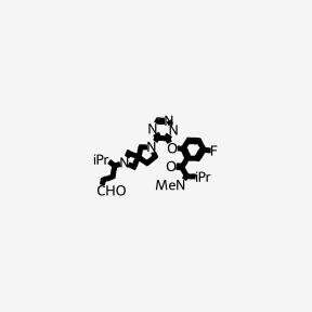 CNC(C(=O)c1cc(F)ccc1Oc1nncnc1N1CCC2(C1)CN(C(CCC=O)C(C)C)C2)C(C)C